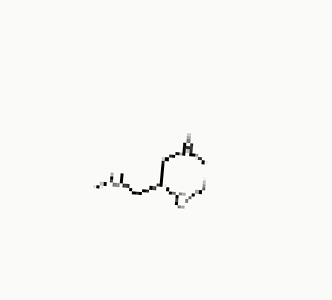 CN1CCOC(COI)C1